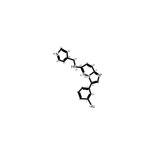 CC(=O)c1cccc(-c2cnc3ccc(NCc4ccncc4)nn23)c1